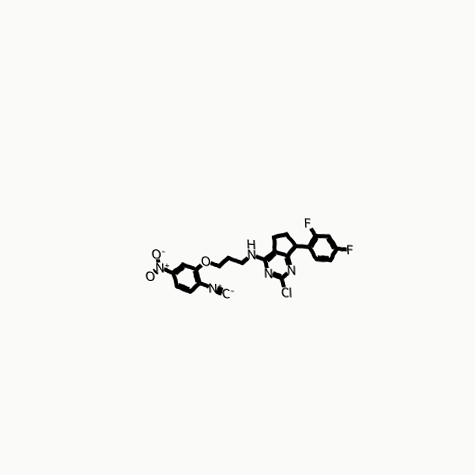 [C-]#[N+]c1ccc([N+](=O)[O-])cc1OCCCNc1nc(Cl)nc2c1CCC2c1ccc(F)cc1F